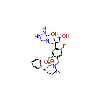 C[C@H]1CC[C@H](c2ccccc2)S(=O)(=O)N1Cc1cc(F)c([C@]2(CN3CNNC3O)C[C@](C)(O)C2)cc1F